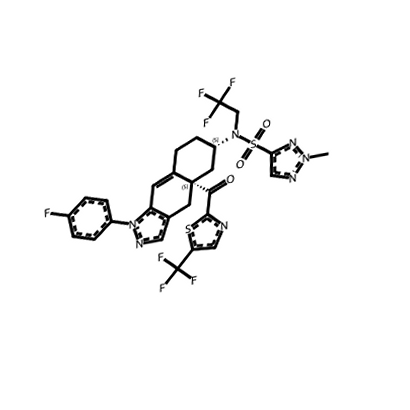 Cn1ncc(S(=O)(=O)N(CC(F)(F)F)[C@H]2CCC3=Cc4c(cnn4-c4ccc(F)cc4)C[C@]3(C(=O)c3ncc(C(F)(F)F)s3)C2)n1